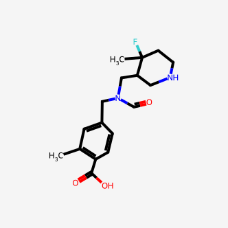 Cc1cc(CN(C=O)CC2CNCCC2(C)F)ccc1C(=O)O